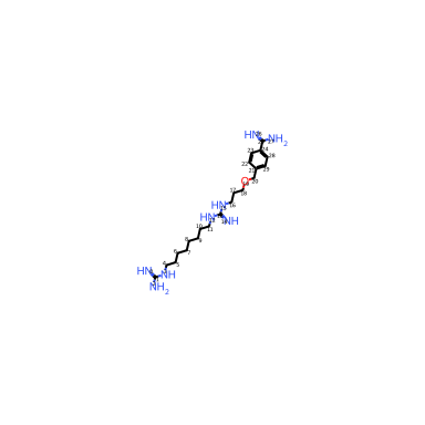 N=C(N)NCCCCCCCCNC(=N)NCCCOCc1ccc(C(=N)N)cc1